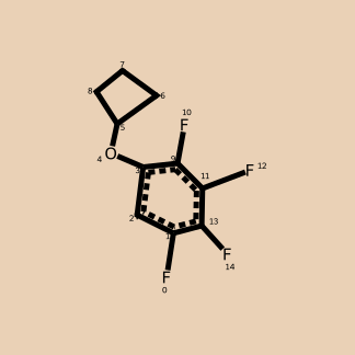 Fc1[c]c(OC2CCC2)c(F)c(F)c1F